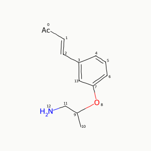 CC(=O)/C=C/c1cccc(OC(C)CN)c1